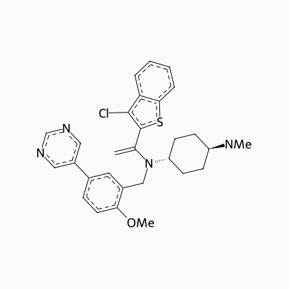 C=C(c1sc2ccccc2c1Cl)N(Cc1cc(-c2cncnc2)ccc1OC)[C@H]1CC[C@H](NC)CC1